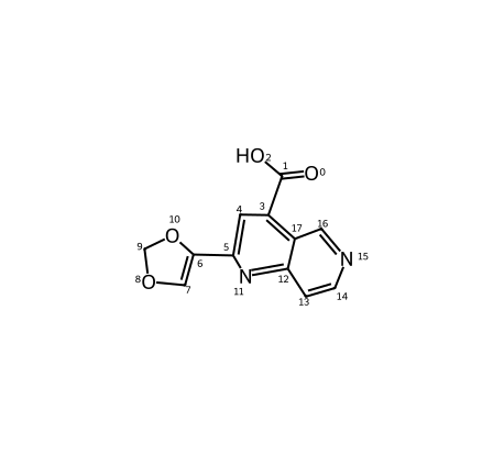 O=C(O)c1cc(C2=COCO2)nc2ccncc12